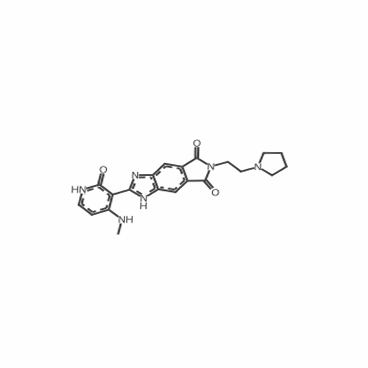 CNc1cc[nH]c(=O)c1-c1nc2cc3c(cc2[nH]1)C(=O)N(CCN1CCCC1)C3=O